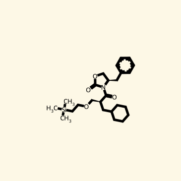 C[Si](C)(C)CCOC[C@H](CC1CCCCC1)C(=O)N1C(=O)OC[C@H]1Cc1ccccc1